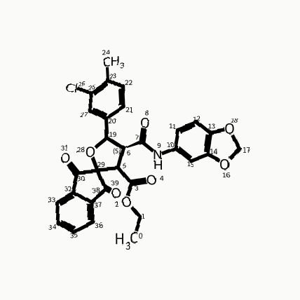 CCOC(=O)C1[C@H](C(=O)Nc2ccc3c(c2)OCO3)C(c2ccc(C)c(Cl)c2)OC12C(=O)c1ccccc1C2=O